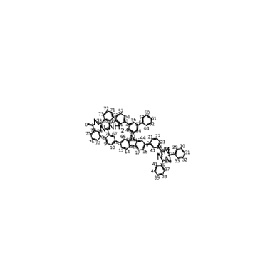 C=C(/N=C(\N=C(/N)c1cccc(-c2ccc3c4ccc(-c5cccc(-c6nc(-c7ccccc7)nc(-c7ccccc7)n6)c5)cc4n(-c4cc(-c5ccccc5)cc(-c5ccccc5)c4)c3c2)c1)c1ccccc1)c1ccccc1